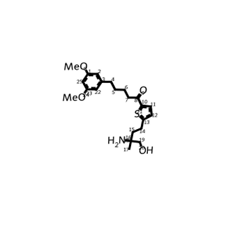 COc1cc(CCCCC(=O)c2ccc(CCC(C)(N)CO)s2)cc(OC)c1